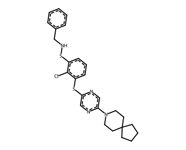 Clc1c(SNCc2ccccc2)cccc1Sc1cnc(N2CCC3(CCCC3)CC2)cn1